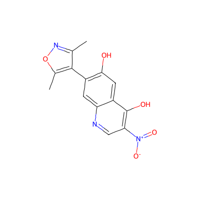 Cc1noc(C)c1-c1cc2ncc([N+](=O)[O-])c(O)c2cc1O